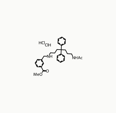 COC(=O)c1cccc(CNCCCC(CCCNC(C)=O)(c2ccccc2)c2ccccc2)c1.Cl.Cl